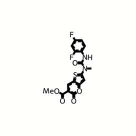 COC(=O)c1cc2sc(N(C)C(=O)Nc3ccc(F)cc3F)cc2oc1=O